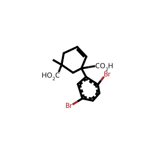 CC1(C(=O)O)CC=CC(C(=O)O)(c2cc(Br)ccc2Br)C1